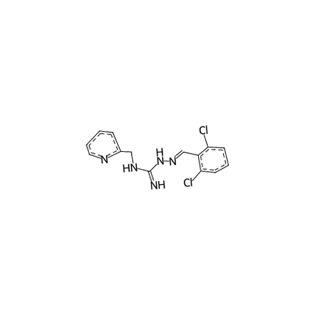 N=C(NCc1ccccn1)NN=Cc1c(Cl)cccc1Cl